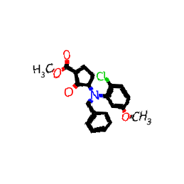 COC(=O)C1CCC(N(Cc2ccccc2)c2cc(OC)ccc2Cl)C1=O